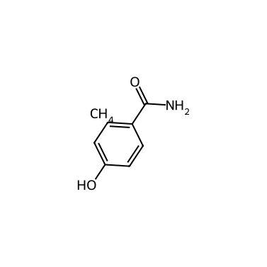 C.NC(=O)c1ccc(O)cc1